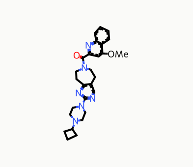 COc1cc(C(=O)N2CCc3cnc(N4CCN(C5CCC5)CC4)nc3CC2)nc2ccccc12